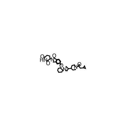 O=C1CCC(N2Cc3cc(O[C@@H]4CCCC[C@@H]4N4CC(C5CCN(C(=O)CC6CC6)CC5)C4)ccc3C2=O)C(=O)N1